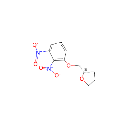 O=[N+]([O-])c1cccc(OC[C@@H]2CCCO2)c1[N+](=O)[O-]